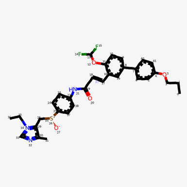 CCCOc1ccc(-c2ccc(OC(F)F)c(/C=C/C(=O)Nc3ccc([S@+]([O-])Cc4c(C)ncn4CC)cc3)c2)cc1